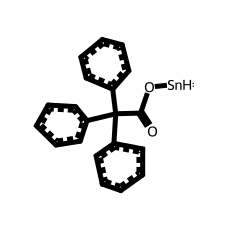 O=C([O][SnH])C(c1ccccc1)(c1ccccc1)c1ccccc1